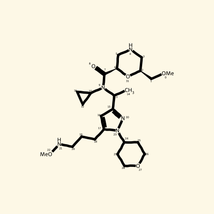 COC[C@@H]1CNC[C@H](C(=O)N(C2CC2)C(C)c2cc(CCCNOC)n(C3CCOCC3)n2)O1